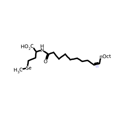 CCCCCCCC/C=C\CCCCCCCC(=O)NC(CC[Se]C)C(=O)O